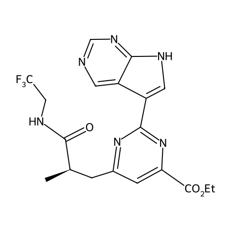 CCOC(=O)c1cc(C[C@@H](C)C(=O)NCC(F)(F)F)nc(-c2c[nH]c3ncncc23)n1